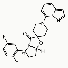 O=C1N2[C@@H](CC[C@H]2c2cc(F)ccc2F)OC12CCN(c1cccc3ccnn13)CC2